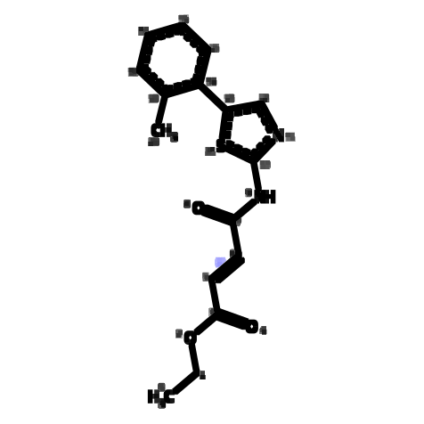 CCOC(=O)/C=C/C(=O)Nc1ncc(-c2ccccc2C)s1